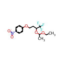 CCOC(C)OC(CCOc1ccc([N+](=O)[O-])cc1)C(F)(F)F